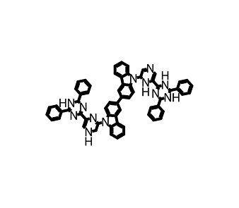 C1=NC=C(C2=NC(c3ccccc3)NC(c3ccccc3)N2)NC1n1c2ccccc2c2cc(-c3ccc4c(c3)c3ccccc3n4C3=NC(C4=NC(c5ccccc5)NC(c5ccccc5)=N4)=CNC3)ccc21